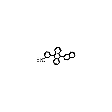 CCOc1cccc(-c2c3ccccc3c(-c3ccc4ccccc4c3)c3ccccc23)c1